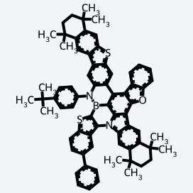 CC(C)(C)c1ccc(N2B3c4sc5ccc(-c6ccccc6)cc5c4-n4c5cc6c(cc5c5c7oc8ccccc8c7c(c3c54)-c3cc4sc5cc7c(cc5c4cc32)C(C)(C)CCC7(C)C)C(C)(C)CCC6(C)C)cc1